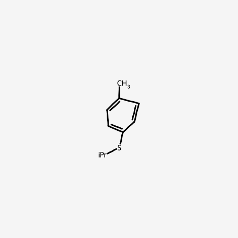 Cc1ccc(SC(C)C)cc1